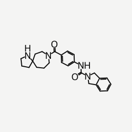 O=C(Nc1ccc(C(=O)N2CCCC3(CCCN3)CC2)cc1)N1Cc2ccccc2C1